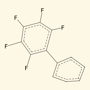 Fc1c(F)c(F)c(-c2ccccc2)c(F)c1F